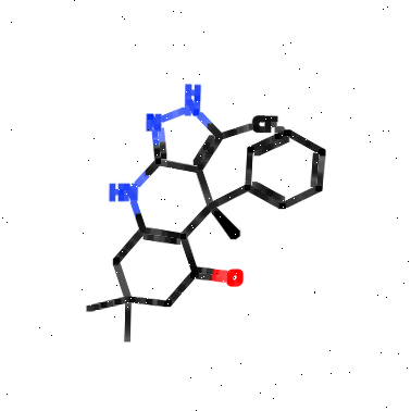 CC1(C)CC(=O)C2=C(C1)Nc1n[nH]c(C(F)(F)F)c1[C@]2(C)c1ccccc1